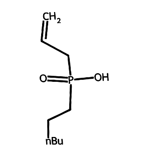 C=CCP(=O)(O)CCCCCC